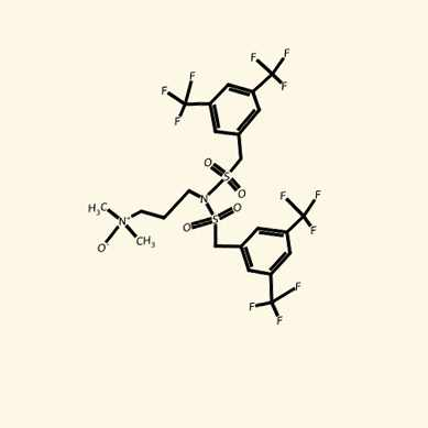 C[N+](C)([O-])CCCN(S(=O)(=O)Cc1cc(C(F)(F)F)cc(C(F)(F)F)c1)S(=O)(=O)Cc1cc(C(F)(F)F)cc(C(F)(F)F)c1